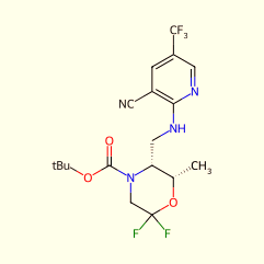 C[C@@H]1OC(F)(F)CN(C(=O)OC(C)(C)C)[C@@H]1CNc1ncc(C(F)(F)F)cc1C#N